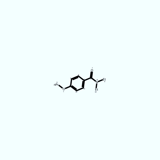 CCCOc1ccc(C(=O)N(CC)CC)cc1